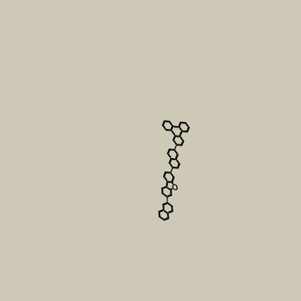 c1ccc2cc(-c3ccc4c(c3)oc3cc(-c5ccc6cc(-c7ccc8c9ccccc9c9ccccc9c8c7)ccc6c5)ccc34)ccc2c1